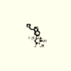 CN1C(=N)N[C@](C)(c2ccc3scc(CC4CCC4)c3c2)CC1=O